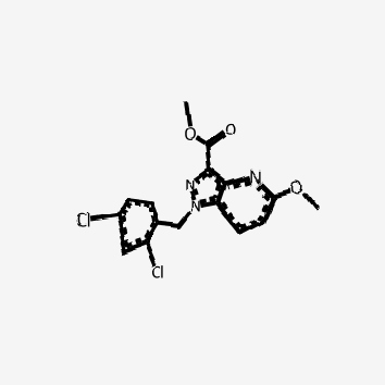 COC(=O)c1nn(Cc2ccc(Cl)cc2Cl)c2ccc(OC)nc12